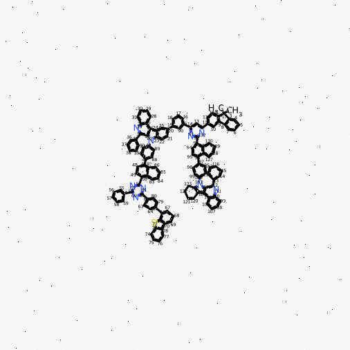 CC1(C)c2ccccc2-c2cc(-c3cc(-c4cccc(-c5ccc6c(c5)c5c7ccccc7nc(-c7ccccc7)c5n6-c5ccc(-c6ccc(-c7nc(-c8ccccc8)nc(-c8ccc(-c9cccc%10c9sc9ccccc9%10)cc8)n7)c7ccccc67)cc5)c4)nc(-c4ccc(-c5ccc(-n6c7c(c8c9ccccc9nc(-c9ccccc9)c86)C=CCC7)cc5)c5ccccc45)n3)ccc21